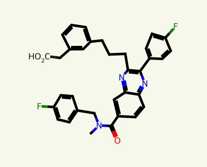 CN(Cc1ccc(F)cc1)C(=O)c1ccc2nc(-c3ccc(F)cc3)c(CCCc3cccc(CC(=O)O)c3)nc2c1